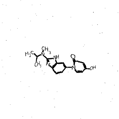 CC(C)N(C)c1nc2ccc(-n3ccc(O)cc3=O)cc2[nH]1